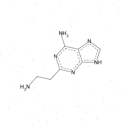 NCCc1nc(N)c2nc[nH]c2n1